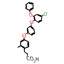 Cc1cc(Oc2cccc(Oc3ccc(Cl)cc3Oc3ccccc3)c2)ccc1CCC(=O)O